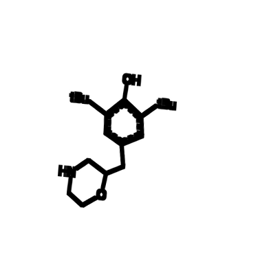 CC(C)(C)c1cc(CC2CNCCO2)cc(C(C)(C)C)c1O